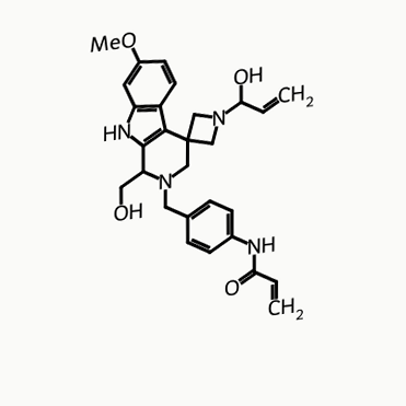 C=CC(=O)Nc1ccc(CN2CC3(CN(C(O)C=C)C3)c3c([nH]c4cc(OC)ccc34)C2CO)cc1